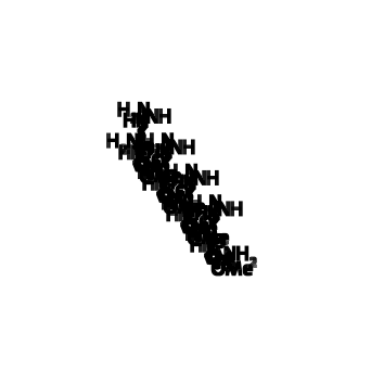 COc1ccc(NC(=O)[C@@H](CCCNC(=N)N)NC(=O)c2cc(NC(=O)[C@@H](CCCNC(=N)N)NC(=O)c3cc(NC(=O)[C@@H](CCCNC(=N)N)NC(=O)c4cc(NC(=O)[C@H](N)CCCNC(=N)N)ccc4OC)ccc3OC)ccc2OC)cc1C(N)=O